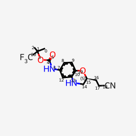 CC(C)(OC(=O)Nc1ccc2c(c1)NC[C@H](CCC#N)O2)C(F)(F)F